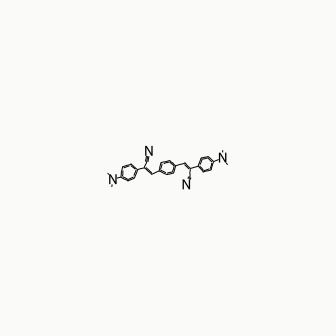 CN(C)c1ccc(C(C#N)=Cc2ccc(C=C(C#N)c3ccc(N(C)C)cc3)cc2)cc1